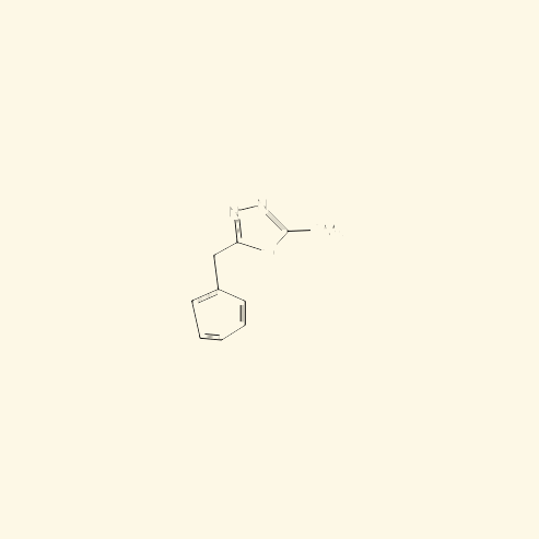 [CH2]Sc1nnc(Cc2ccccc2)o1